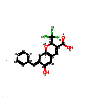 O=C(O)C1=CC2=C(CC(=Cc3ccccc3)C(O)=C2)OC1C(F)(F)F